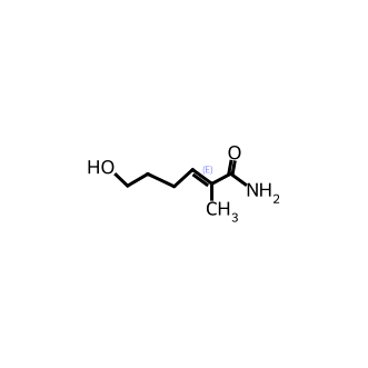 C/C(=C\CCCO)C(N)=O